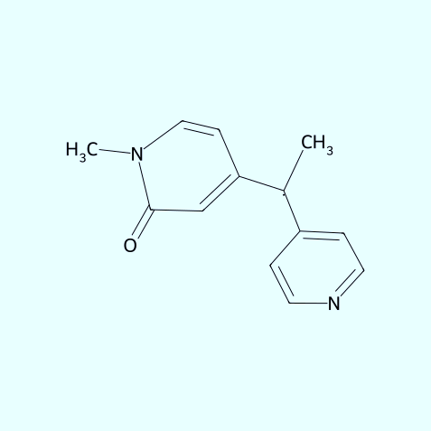 C[C](c1ccncc1)c1ccn(C)c(=O)c1